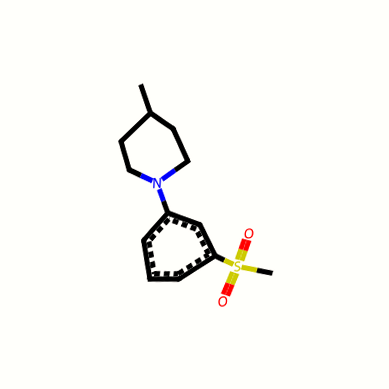 CC1CCN(c2cccc(S(C)(=O)=O)c2)CC1